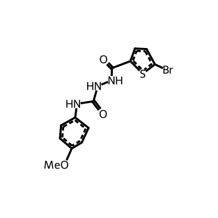 COc1ccc(NC(=O)NNC(=O)c2ccc(Br)s2)cc1